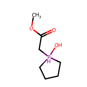 COC(=O)C[PH]1(O)CCCC1